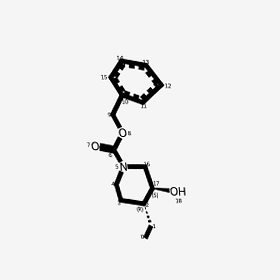 CC[C@@H]1CCN(C(=O)OCc2ccccc2)C[C@H]1O